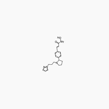 O=C(C=Cc1ccc(C2CCCN2CCCn2cccn2)cc1)NO